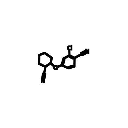 N#Cc1ccc(OC2CCCCC2C#N)cc1Cl